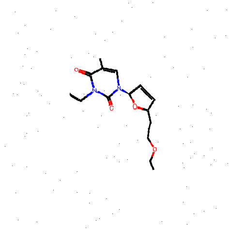 CCOCCC1C=C[C@H](n2cc(C)c(=O)n(CC)c2=O)O1